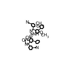 CN1C(=O)CN=C(c2cccc(C#N)c2)c2cc(-c3ccccc3)ccc21.COc1ccccc1-c1cc2c(cc1OC)NC(=O)CN=C2c1cccc(C#N)c1